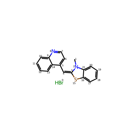 Br.CN1C(=Cc2ccnc3ccccc23)Sc2ccccc21